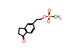 CS(=O)(=O)OCCc1ccc2c(c1)CCC2=O